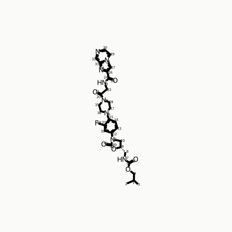 CC(C)COC(=O)NC[C@H]1CN(c2ccc(N3CCN(C(=O)CNC(=O)c4cn5ccncc5n4)CC3)c(F)c2)C(=O)O1